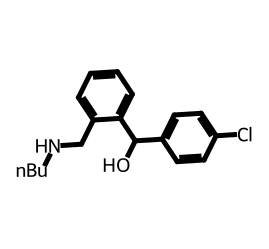 CCCCNCc1ccccc1C(O)c1ccc(Cl)cc1